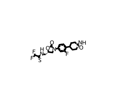 N=S1(=O)CCC(c2ccc(N3C[C@H](CNC(=S)C(F)F)OC3=O)cc2F)CC1